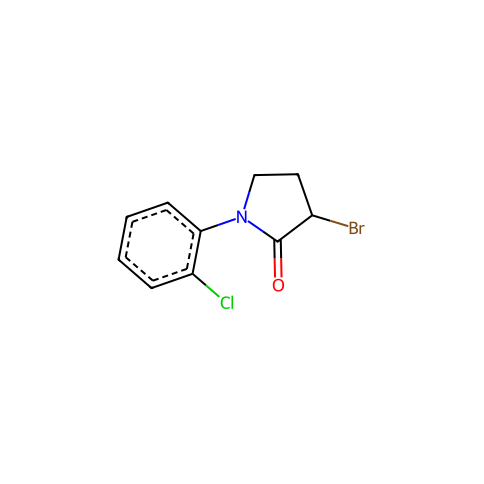 O=C1C(Br)CCN1c1ccccc1Cl